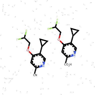 N#Cc1cc(OCC(F)F)c(C2CC2)cn1.O=C(O)c1cc(OCC(F)F)c(C2CC2)cn1